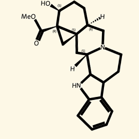 COC(=O)[C@]12C[C@@]13C[C@H]1C4Nc5ccccc5C4CCN1C[C@@H]3CC[C@@H]2O